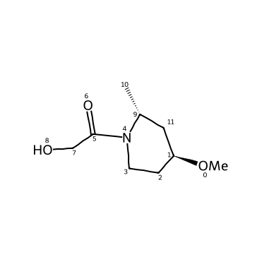 CO[C@H]1CCN(C(=O)CO)[C@H](C)C1